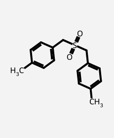 Cc1ccc(CS(=O)(=O)Cc2ccc(C)cc2)cc1